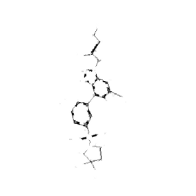 Cl.NC/C=C(\F)Cn1nnc2c(-c3cccc(S(=O)(=O)N4CCC(F)(F)C4)c3)cc(C(=O)O)cc21